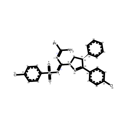 CC(C)/C(N)=N/C(=N\S(=O)(=O)c1ccc(Cl)cc1)N1C[C@H](c2ccccc2)C(c2ccc(Cl)cc2)=N1